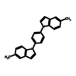 Cc1ccc2c(ccn2-c2ccc(-n3ccc4cc(C)ccc43)cc2)c1